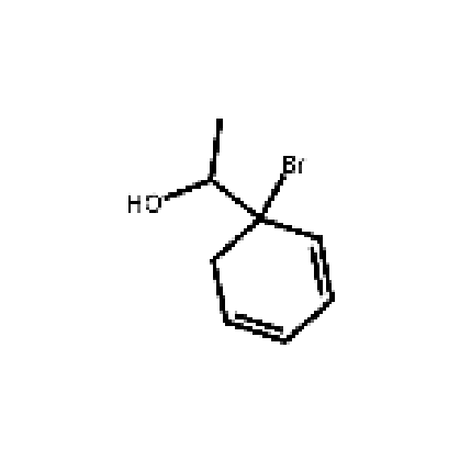 CC(O)C1(Br)C=CC=CC1